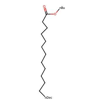 CCCCCCCCCCCCCCCCCCCCCC(=O)OCCCC